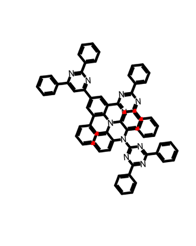 c1ccc(-c2cc(-c3cc(-c4ccccc4)c(N4c5ccccc5N(c5nc(-c6ccccc6)nc(-c6ccccc6)n5)c5ccccc54)c(-c4nc(-c5ccccc5)nc(-c5ccccc5)n4)c3)nc(-c3ccccc3)n2)cc1